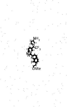 COCCc1ccc2ccc(-c3nnc4ccc([C@@H](N5CC[C@H](N)C5)C(F)(F)F)cn34)nc2c1F